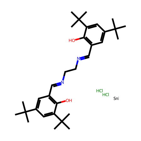 CC(C)(C)c1cc(C=NCCN=Cc2cc(C(C)(C)C)cc(C(C)(C)C)c2O)c(O)c(C(C)(C)C)c1.Cl.Cl.[Sn]